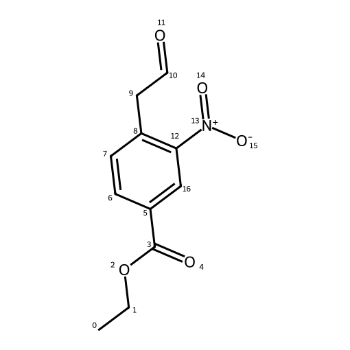 CCOC(=O)c1ccc(CC=O)c([N+](=O)[O-])c1